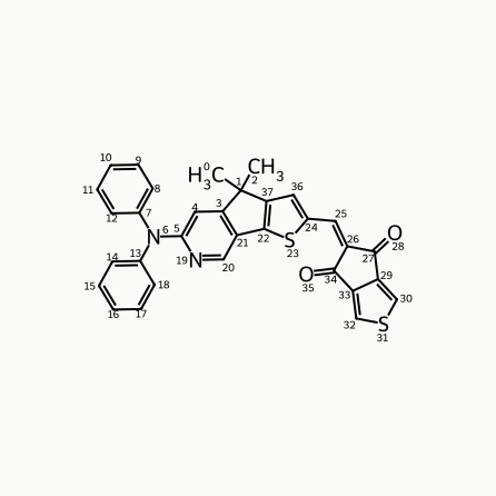 CC1(C)c2cc(N(c3ccccc3)c3ccccc3)ncc2-c2sc(C=C3C(=O)c4cscc4C3=O)cc21